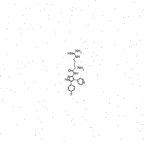 N=C(N)NCCC[C@H](N)C(=O)Nc1n[nH]c(-c2ccc(F)cc2)c1-c1ccncc1